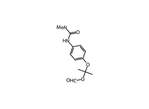 CNC(=O)Nc1ccc(OC(C)(C)OC=O)cc1